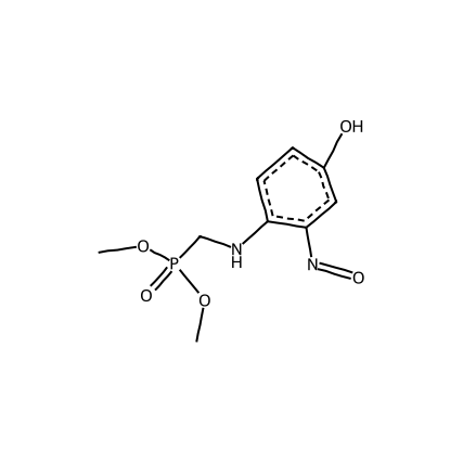 COP(=O)(CNc1ccc(O)cc1N=O)OC